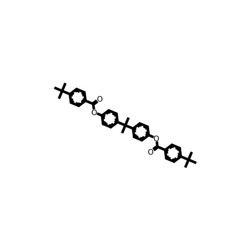 CC(C)(C)c1ccc(C(=O)Oc2ccc(C(C)(C)c3ccc(OC(=O)c4ccc(C(C)(C)C)cc4)cc3)cc2)cc1